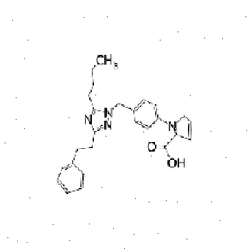 CCCCc1nc(CCc2ccccc2)nn1Cc1ccc(N2CC=CC2C(=O)O)cc1